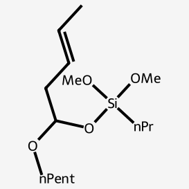 CC=CCC(OCCCCC)O[Si](CCC)(OC)OC